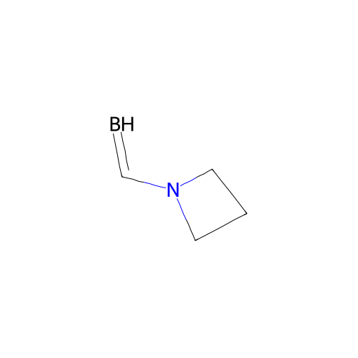 B=CN1CCC1